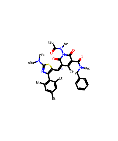 CCCCN(CCCC)c1nc(-c2c(CC)cc(CC)cc2CC)c(/C=C2\C(=O)N(N(C(C)=O)C(=O)C(C)(C)C)C(=O)C(C(=O)N(Cc3ccccc3)C(C)=O)=C2C)s1